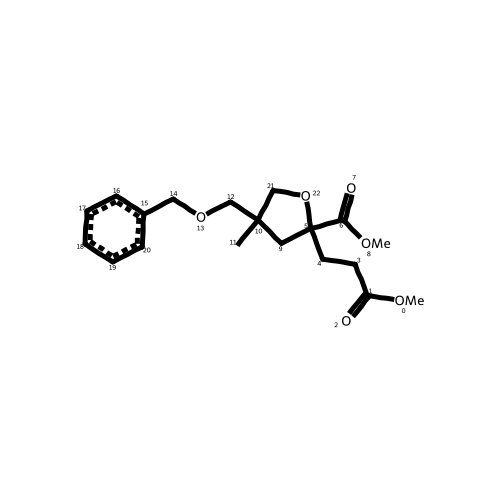 COC(=O)CCC1(C(=O)OC)CC(C)(COCc2ccccc2)CO1